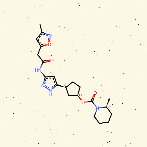 Cc1cc(CC(=O)Nc2cc([C@H]3CC[C@@H](OC(=O)N4CCCC[C@@H]4C)C3)[nH]n2)on1